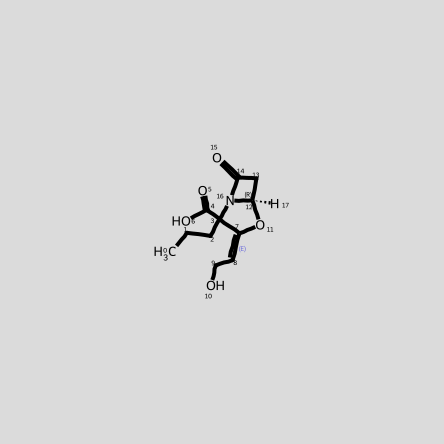 CCCC1(C(=O)O)/C(=C\CO)O[C@@H]2CC(=O)N21